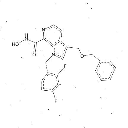 O=C(NO)c1nccc2c(COCc3ccccc3)cn(Cc3ccc(F)cc3F)c12